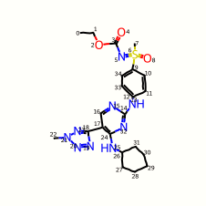 CCOC(=O)N=S(C)(=O)c1ccc(Nc2ncc(-c3nnn(C)n3)c(NC3CCCCC3)n2)cc1